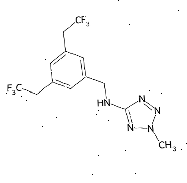 Cn1nnc(NCc2cc(CC(F)(F)F)cc(CC(F)(F)F)c2)n1